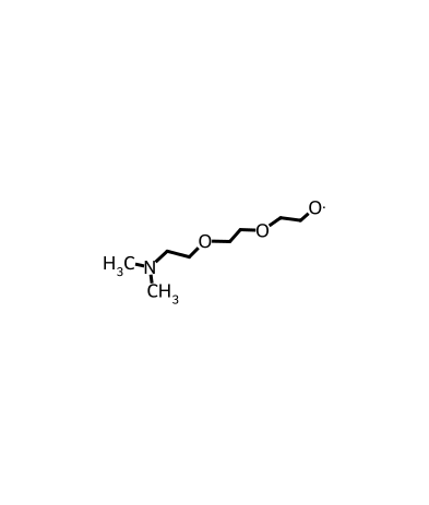 CN(C)CCOCCOCC[O]